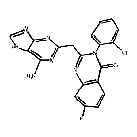 Nc1nc(Cc2nc3cc(F)ccc3c(=O)n2-c2ccccc2Cl)nc2nc[nH]c12